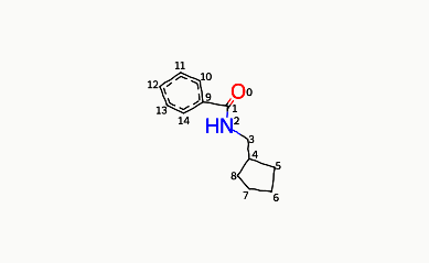 O=C(NCC1CCCC1)c1ccccc1